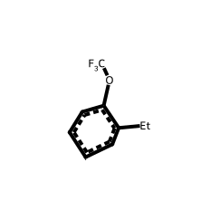 CCc1c[c]ccc1OC(F)(F)F